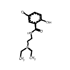 CCN(CC)CCNC(=O)c1cc(Cl)ccc1O